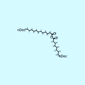 CCCCCCCCCCCCCCCCCCCCCC(=O)OC(=O)CCCCCCCCCCCCCCCCC